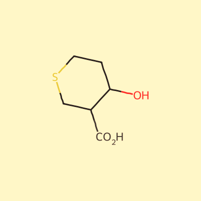 O=C(O)C1CSCCC1O